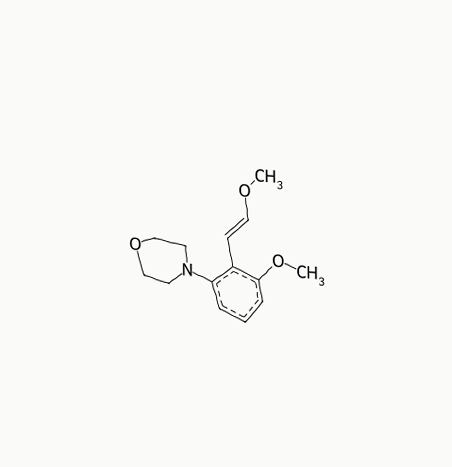 COC=Cc1c(OC)cccc1N1CCOCC1